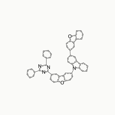 c1ccc(-c2nc(-c3ccccc3)nc(-c3ccc4oc5ccc(-n6c7ccccc7c7cc(-c8ccc9oc%10ccccc%10c9c8)ccc76)cc5c4c3)n2)cc1